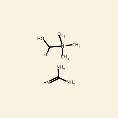 CCC(O)[N+](C)(C)C.N=C(N)N